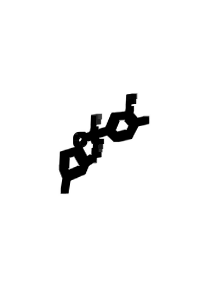 Cc1ccc(OC(F)(F)c2ccc(C)c(F)c2)c(F)c1